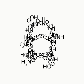 CC(C)C[C@@H]1NC(=O)[C@H](Cc2c[nH]cn2)NC(=O)[C@@H]2CCSSCC[C@H](NC(=O)[C@H](CC(C)C)NC(=O)[C@H](CCC(=O)O)NC(=O)CNC1=O)C(=O)N[C@@H](Cc1c[nH]c3ccccc13)C(=O)N[C@H](C(=O)N[C@H](C(N)=O)[C@@H](C)O)CSSC[C@H](NC(=O)[C@H](CC(=O)O)NC(C)(C)C)C(=O)N[C@@H](C)C(=O)N2